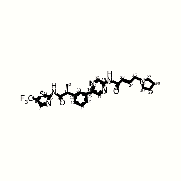 C[C@H](C(=O)Nc1ncc(C(F)(F)F)s1)c1cccc(-c2cnc(NC(=O)/C=C/CN3CCCC3)cn2)c1